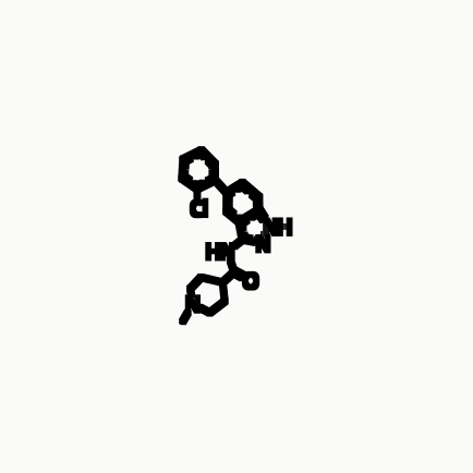 CN1CCC(C(=O)Nc2n[nH]c3ccc(-c4ccccc4Cl)cc23)CC1